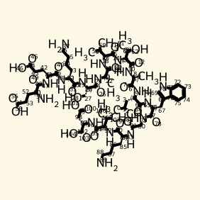 CC(C)C[C@H](NC(=O)[C@H](C)NC(=O)[C@@H](NC(=O)[C@@H](NC(=O)[C@H](C)NC(=O)[C@H](CO)NC(=O)[C@H](CCCCN)NC(=O)[C@H](CCC(=O)O)NC(=O)[C@@H](N)CCC(=O)O)C(C)C)[C@@H](C)O)C(=O)N[C@@H](Cc1c[nH]c2ccccc12)C(=O)NCC(=O)N[C@@H](CCCCN)C(=O)N[C@H](C(=O)N[C@@H](CC(=O)O)C(=O)O)C(C)C